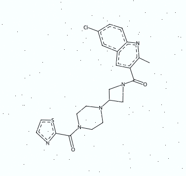 Cc1nc2ccc(Cl)cc2cc1C(=O)N1CC(N2CCN(C(=O)c3nccs3)CC2)C1